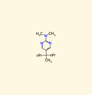 CCCC(C)(CCC)c1cnc(N(C)C)nc1